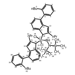 CCCCc1ccccc1-c1cccc2c1C=C(CCC)[CH]2[Zr]([Cl])([Cl])([BH]N([Si](C)(C)C)[Si](C)(C)C)[CH]1C(CCC)=Cc2c(-c3ccccc3CCCC)cccc21